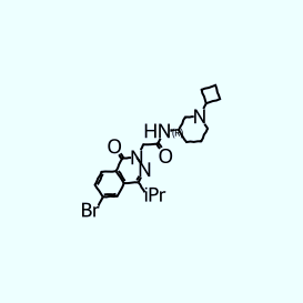 CC(C)c1nn(CC(=O)N[C@@H]2CCCN(C3CCC3)C2)c(=O)c2ccc(Br)cc12